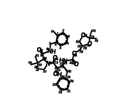 Cc1ccccc1CNC(=O)[C@H]1N(C(=O)[C@@H](O)[C@H](Cc2ccccc2)NC(=O)OC[C@H]2COC(C)(C)O2)CSC1(C)C